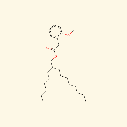 CCCCCCCCC(CCCCCC)COC(=O)Cc1ccccc1OC